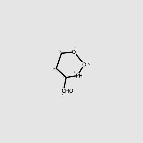 O=CC1CCOOP1